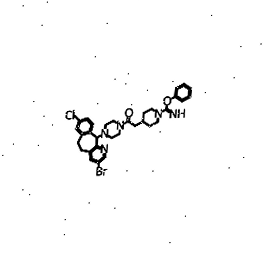 N=C(Oc1ccccc1)N1CCC(CC(=O)N2CCN(C3c4ccc(Cl)cc4CCc4cc(Br)cnc43)CC2)CC1